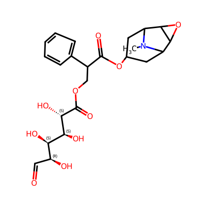 CN1C2CC(OC(=O)C(COC(=O)[C@@H](O)[C@@H](O)[C@H](O)[C@@H](O)C=O)c3ccccc3)CC1C1OC12